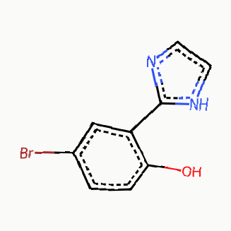 Oc1ccc(Br)cc1-c1ncc[nH]1